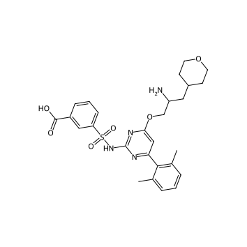 Cc1cccc(C)c1-c1cc(OCC(N)CC2CCOCC2)nc(NS(=O)(=O)c2cccc(C(=O)O)c2)n1